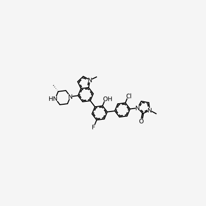 C[C@@H]1CN(c2cc(-c3cc(F)cc(-c4ccc(-n5ccn(C)c5=O)c(Cl)c4)c3O)cc3c2ccn3C)CCN1